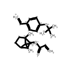 C=CC(=O)OC1CC2CCC1(C)C2(C)C.C=Cc1ccc(OC(C)(C)C)cc1